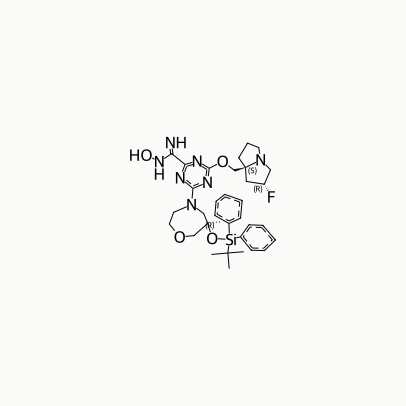 CC(C)(C)[Si](O[C@@]1(C)COCCN(c2nc(OC[C@@]34CCCN3C[C@H](F)C4)nc(C(=N)NO)n2)C1)(c1ccccc1)c1ccccc1